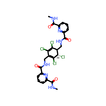 CNC(=O)c1cccc(C(=O)NCC2=C(Cl)[C@@H](Cl)C(CNC(=O)c3cccc(C(=O)NC)n3)C(Cl)=C2Cl)n1